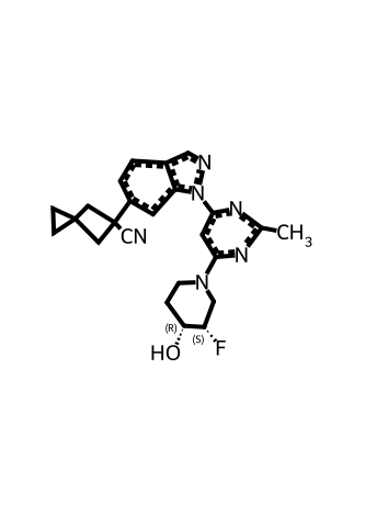 Cc1nc(N2CC[C@@H](O)[C@@H](F)C2)cc(-n2ncc3ccc(C4(C#N)CC5(CC5)C4)cc32)n1